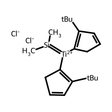 C[Si](C)=[Ti+2]([C]1=C(C(C)(C)C)C=CC1)[C]1=C(C(C)(C)C)C=CC1.[Cl-].[Cl-]